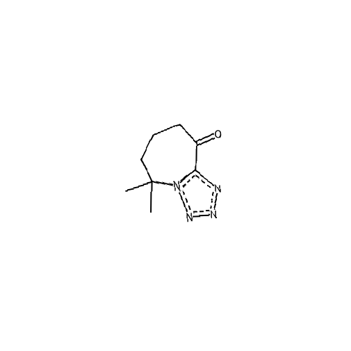 CC1(C)CCCC(=O)c2nnnn21